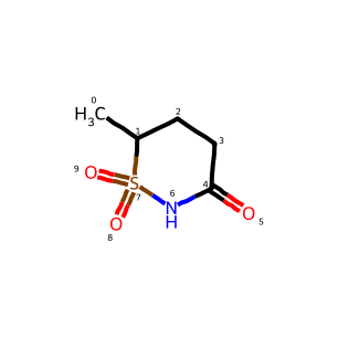 CC1CCC(=O)NS1(=O)=O